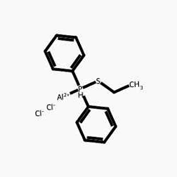 CCS[PH]([Al+2])(c1ccccc1)c1ccccc1.[Cl-].[Cl-]